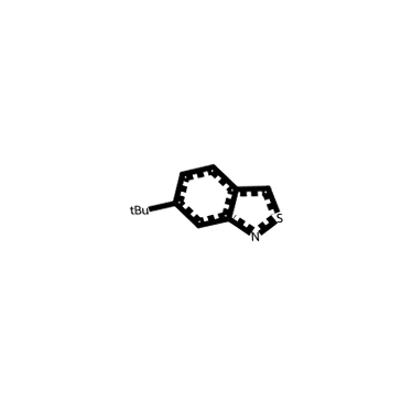 CC(C)(C)c1ccc2csnc2c1